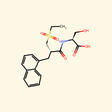 CCS(=O)(=O)C[C@@H](Cc1cccc2ccccc12)C(=O)N[C@@H](CO)C(=O)O